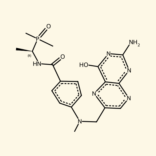 C[C@H](NC(=O)c1ccc(N(C)Cc2cnc3nc(N)nc(O)c3n2)cc1)P(C)(C)=O